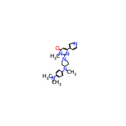 CN(C)c1ccc(N(C)C2CCN(c3nc(-c4ccncc4)cc(=O)n3C)CC2)cc1